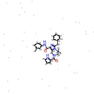 Cc1cccc(NC(=O)c2nc(Cc3ccccc3)n3c2CN(C(=O)c2ccc[nH]2)CC3(C)C)c1